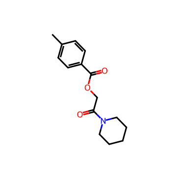 Cc1ccc(C(=O)OCC(=O)N2CCCCC2)cc1